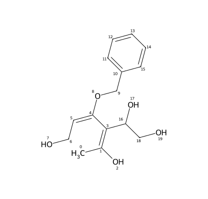 C/C(O)=C(\C(=C/CO)OCc1ccccc1)C(O)CO